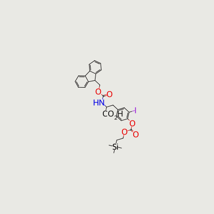 C[Si](C)(C)CCOC(=O)Oc1ccc(CC(NC(=O)OCC2c3ccccc3-c3ccccc32)C(=O)O)cc1I